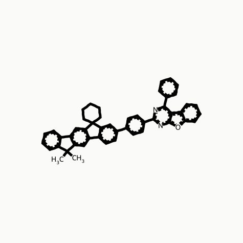 CC1(C)c2ccccc2-c2cc3c(cc21)-c1ccc(-c2ccc(-c4nc(-c5ccccc5)c5c(n4)oc4ccccc45)cc2)cc1C31CCCCC1